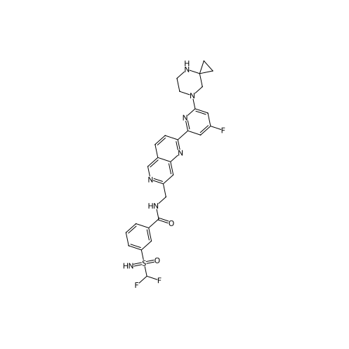 N=S(=O)(c1cccc(C(=O)NCc2cc3nc(-c4cc(F)cc(N5CCNC6(CC6)C5)n4)ccc3cn2)c1)C(F)F